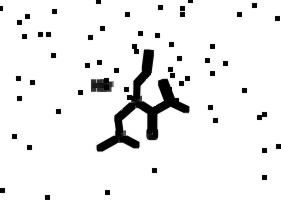 Br.C=CCN(CN(C)C)C(=O)C(=C)C